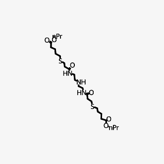 CCCOC(=O)CCCCSCCC(=O)NCCNCCNC(=O)CCSCCCCC(=O)OCCC